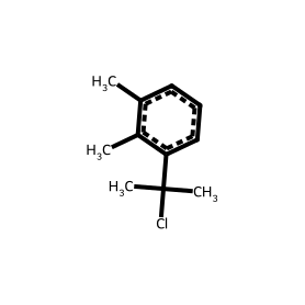 Cc1cccc(C(C)(C)Cl)c1C